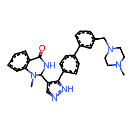 CN1CCN(Cc2cccc(-c3ccc(-c4[nH]ncc4C4NC(=O)c5ccccc5N4C)cc3)c2)CC1